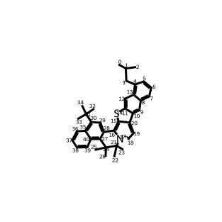 CC(C)Cc1cccc2cc3c(cc12)sc1c2[n+](ccc13)C(C)(C)C(C)(C)c1c-2cc(C(C)(C)C)c2ccccc12